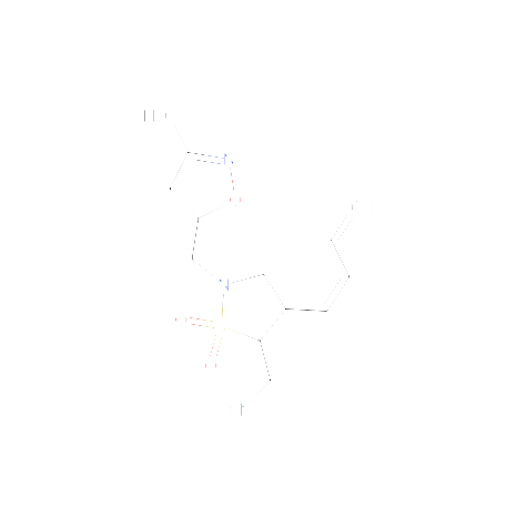 C=C/C=C\C1CN(CC2CC(C)=NO2)S(=O)(=O)C1CCl